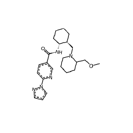 COCC1CCCCN1C[C@@H]1CCCC[C@H]1NC(=O)c1ccc(-n2cccn2)nc1